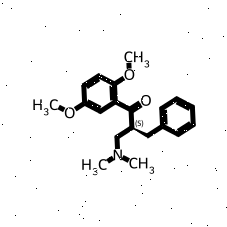 COc1ccc(OC)c(C(=O)[C@@H](Cc2ccccc2)CN(C)C)c1